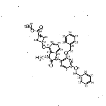 Cn1c(=O)n(-c2ccc(OCc3ccccc3)nc2OCc2ccccc2)c2cccc(OC3CN(C(=O)OC(C)(C)C)C3)c21